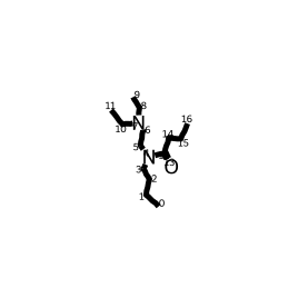 CCCCN(CCN(CC)CC)C(=O)CCC